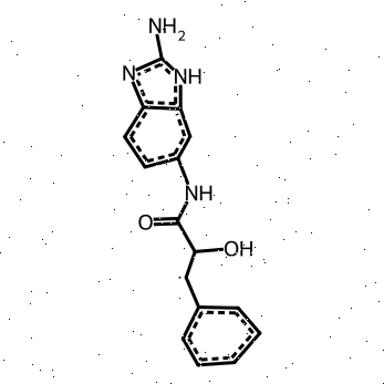 Nc1nc2ccc(NC(=O)C(O)[CH]c3ccccc3)cc2[nH]1